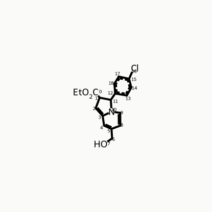 CCOC(=O)C1C=C2C=C(CO)C=CN2C1c1ccc(Cl)cc1